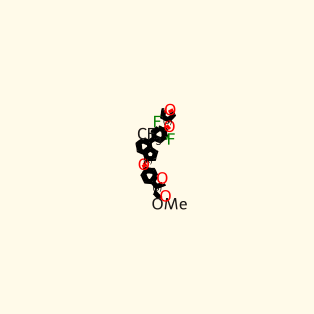 COC(=O)C[C@@H]1COc2cc(O[C@@H]3CCc4c3ccc(C(F)(F)F)c4-c3cc(F)c(O[C@H]4CCOC4)c(F)c3)ccc21